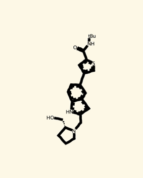 CC(C)(C)NC(=O)c1cc(-c2ccc3[nH]c(CN4CCC[C@@H]4CO)cc3c2)cs1